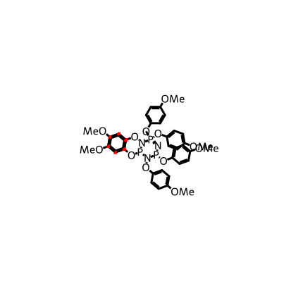 COc1ccc(ON2P(Oc3ccc(OC)cc3)N=P(Oc3ccc(OC)cc3)(Oc3ccc(OC)cc3)N(Oc3ccc(OC)cc3)P2Oc2ccc(OC)cc2)cc1